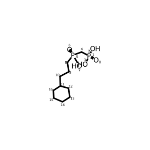 O=P(O)(O)CP(=O)(O)CCCC1CCCCC1